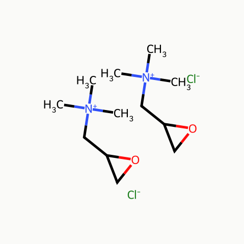 C[N+](C)(C)CC1CO1.C[N+](C)(C)CC1CO1.[Cl-].[Cl-]